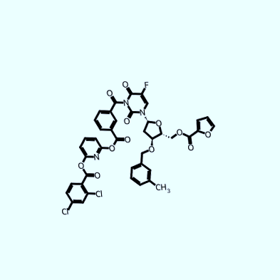 Cc1cccc(CO[C@H]2C[C@H](n3cc(F)c(=O)n(C(=O)c4cccc(C(=O)Oc5cccc(OC(=O)c6ccc(Cl)cc6Cl)n5)c4)c3=O)O[C@@H]2COC(=O)c2ccco2)c1